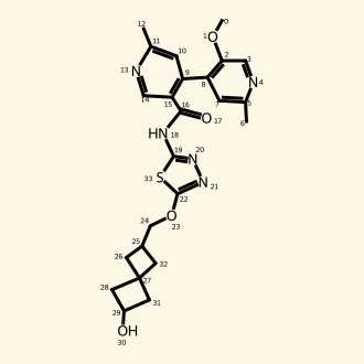 COc1cnc(C)cc1-c1cc(C)ncc1C(=O)Nc1nnc(OCC2CC3(CC(O)C3)C2)s1